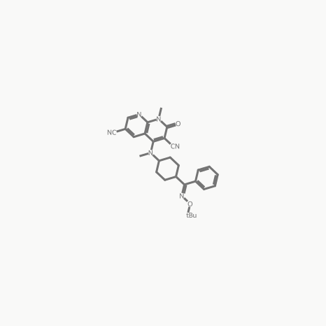 CN(c1c(C#N)c(=O)n(C)c2ncc(C#N)cc12)C1CCC(/C(=N/OC(C)(C)C)c2ccccc2)CC1